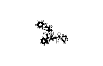 Cc1ccccc1C(C(=O)NC(C)(C)C(=O)c1nc2ccccc2o1)S(=O)(=O)CCNC(=O)N1CCOCC1